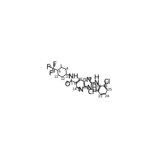 O=C(NC1CCC(C(F)(F)F)CC1)c1cnc2[nH]c(Nc3c(Cl)cccc3Cl)nc2c1